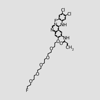 C=CC(=O)Nc1cc2c(Nc3cc(Cl)c(Cl)cc3F)ncnc2cc1OCCOCCOCCOCCOCCOCCF